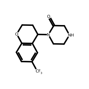 O=C1CNCCN1C1CCOc2ccc(C(F)(F)F)cc21